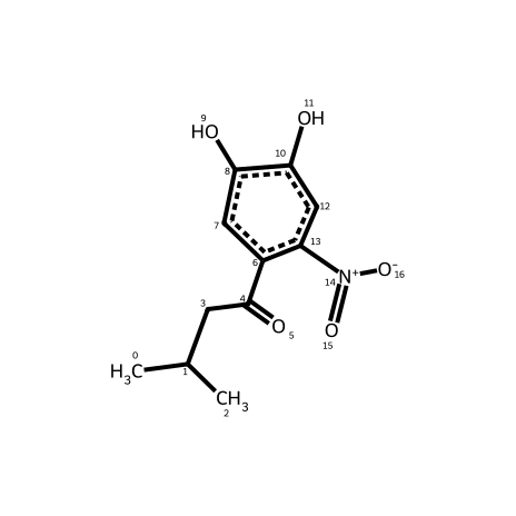 CC(C)CC(=O)c1cc(O)c(O)cc1[N+](=O)[O-]